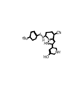 CC(C)(C)C1CC=C(SNC2CCC(C#N)C3=CC(C4C=C(O)CNC4)NN32)CC1